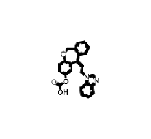 O=C(O)Oc1ccc2c(c1)C(=CCn1cnc3ccccc31)c1ccccc1CO2